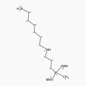 CO[Si](C)(CCCNCCCCCCN)OC